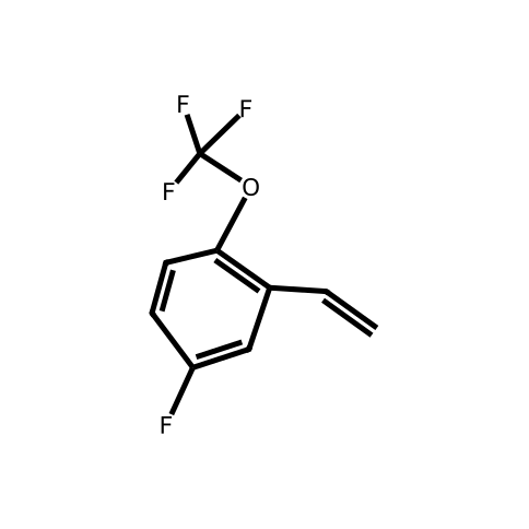 C=Cc1cc(F)ccc1OC(F)(F)F